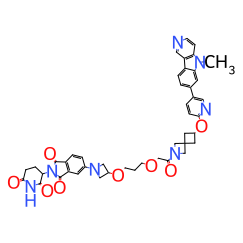 Cn1c2ccncc2c2ccc(-c3ccc(OC4CC5(C4)CN(C(=O)COCCCOC4CN(c6ccc7c(c6)C(=O)N(C6CCC(=O)NC6=O)C7=O)C4)C5)nc3)cc21